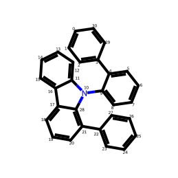 c1ccc(-c2ccccc2-n2c3ccccc3c3cccc(-c4ccccc4)c32)cc1